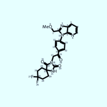 COCc1nc2cccnc2n1-c1ccc(C(=O)CN2C(=O)NC3(CCC(F)(F)CC3)C2=O)cc1